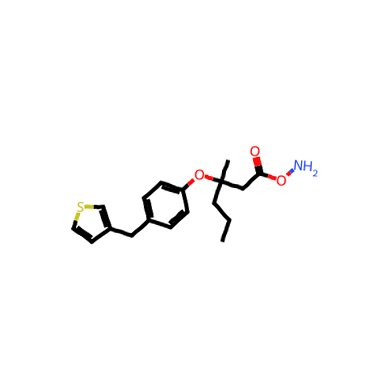 CCCC(C)(CC(=O)ON)Oc1ccc(Cc2ccsc2)cc1